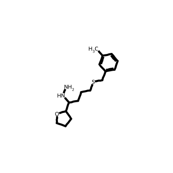 Cc1cccc(CSCCCC(NN)C2CCCO2)c1